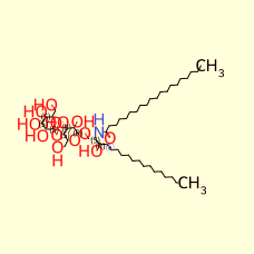 CCCCCCCCCCCCC/C=C/[C@@H](O)[C@H](CO[C@@H]1OC(CO)[C@@H](O[C@@H]2OC(CO)[C@@H](O)[C@H](O)C2O)[C@H](O)C1O)NC(=O)CCCCCCCCCCCCCCCCCCC